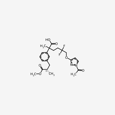 COC(=O)[C@@H](C)Cc1cccc(C(C)(CCC(F)(F)COc2ccn(C(C)=O)n2)C(=O)O)c1